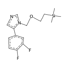 C[Si](C)(C)CCOCn1cncc1-c1ccc(F)c(F)c1